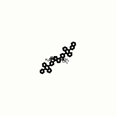 C[Si]1(C)c2cc(-c3c4ccccc4c(-c4ccccc4)c4ccccc34)ccc2-c2c1ccc1c3c(ccc21)[Si](C)(C)c1cc(-c2c4ccccc4c(-c4ccc5ccccc5c4)c4ccccc24)ccc1-3